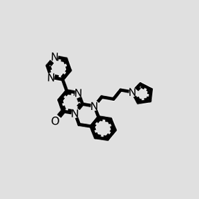 O=c1cc(-c2ccncn2)nc2n1Cc1ccccc1N2CCCn1cccc1